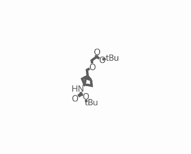 CC(C)(C)OC(=O)COCC1CC2(NC(=O)OC(C)(C)C)CC1C2